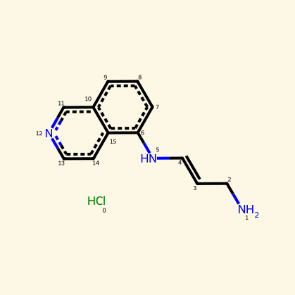 Cl.NCC=CNc1cccc2cnccc12